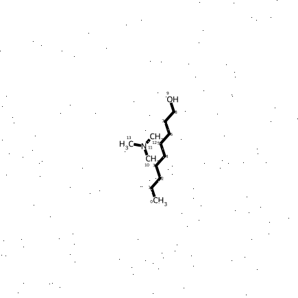 CCCCCCCCCO.CN(C)C